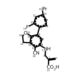 C=C(CNc1cc(-c2ccc(C(C)C)cc2F)c2c(c1C#N)CCO2)C(=O)O